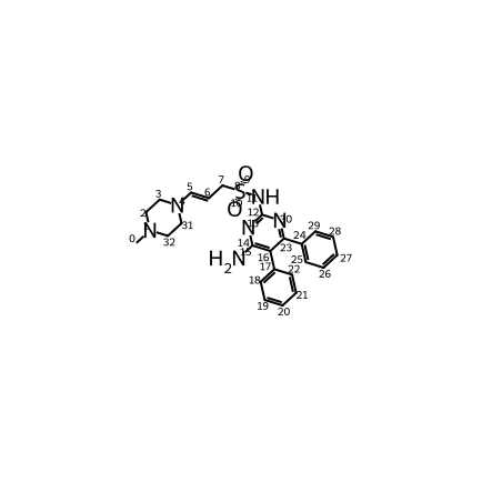 CN1CCN(C=CCS(=O)(=O)Nc2nc(N)c(-c3ccccc3)c(-c3ccccc3)n2)CC1